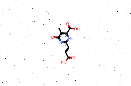 Cc1c(C(=O)O)[nH]c(C=CC(=O)O)nc1=O